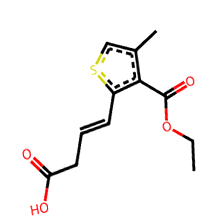 CCOC(=O)c1c(C)csc1C=CCC(=O)O